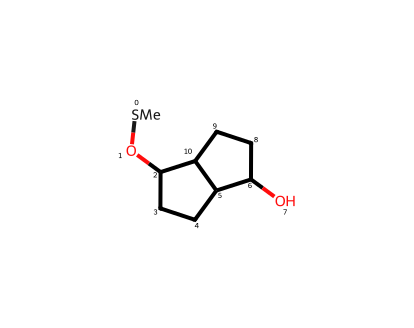 CSOC1CCC2C(O)CCC12